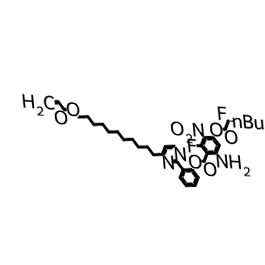 C=CC(=O)OCCCCCCCCCCCc1ccnc(-c2ccccc2OC(=O)c2c(N)cc(OC(=O)[C@H](F)CCCC)c([N+](=O)[O-])c2F)n1